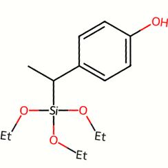 CCO[Si](OCC)(OCC)C(C)c1ccc(O)cc1